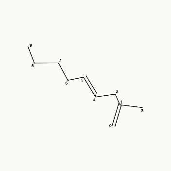 C=C(C)C/[C]=C/CCCC